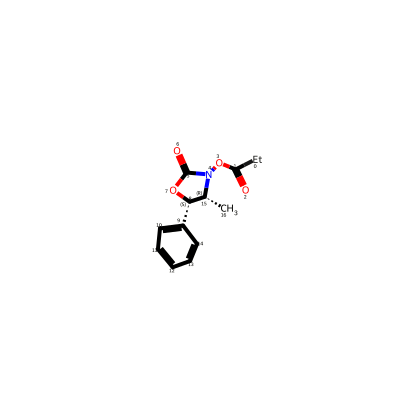 CCC(=O)ON1C(=O)O[C@@H](c2ccccc2)[C@H]1C